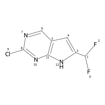 FC(F)c1cc2cnc(Cl)nc2[nH]1